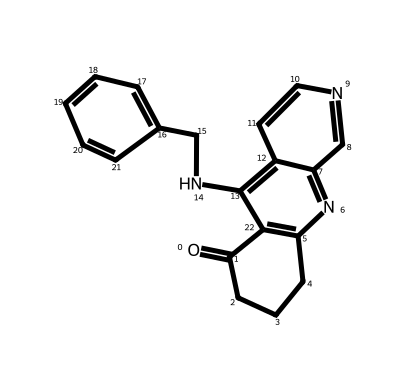 O=C1CCCc2nc3cnccc3c(NCc3ccccc3)c21